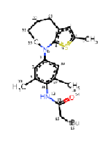 Cc1cc2c(s1)N(c1cc(C)c(NC(=O)CC(C)(C)C)c(C)c1)CCCC2